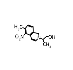 Cc1ccc2c(c1[N+](=O)[O-])C=CN([C@H](C)CO)C2